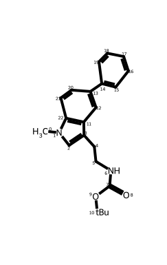 Cn1cc(CCNC(=O)OC(C)(C)C)c2cc(-c3ccccc3)ccc21